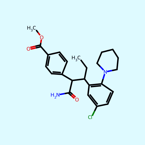 CCC(c1cc(Cl)ccc1N1CCCCC1)C(C(N)=O)c1ccc(C(=O)OC)cc1